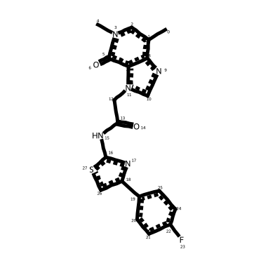 Cc1cn(C)c(=O)c2c1ncn2CC(=O)Nc1nc(-c2ccc(F)cc2)cs1